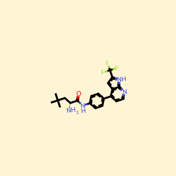 CC(C)(C)C[C@@H](N)C(=O)Nc1ccc(-c2ccnc3[nH]c(C(F)(F)F)cc23)cc1